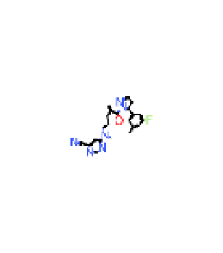 C=C(CCCN(C)c1cc(C#N)ncn1)C(=O)N1N=CCC1c1cc(C)cc(F)c1